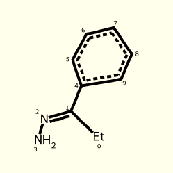 CC/C(=N\N)c1ccccc1